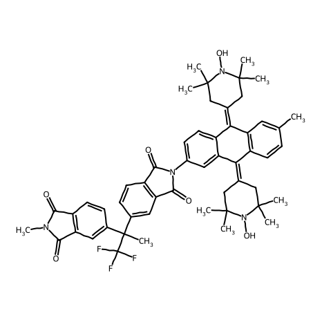 Cc1ccc2c(=C3CC(C)(C)N(O)C(C)(C)C3)c3cc(N4C(=O)c5ccc(C(C)(c6ccc7c(c6)C(=O)N(C)C7=O)C(F)(F)F)cc5C4=O)ccc3c(=C3CC(C)(C)N(O)C(C)(C)C3)c2c1